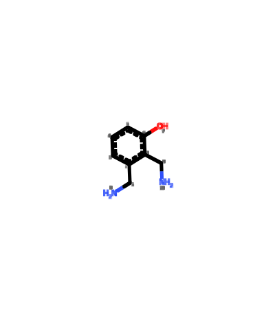 NCc1cccc(O)c1CN